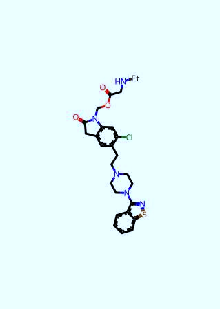 CCNCC(=O)OCN1C(=O)Cc2cc(CCN3CCN(c4nsc5ccccc45)CC3)c(Cl)cc21